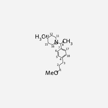 COCCCc1ccc(C(C)N2CCC(C)CC2)cc1